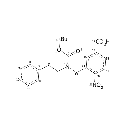 CC(C)(C)OC(=O)N(CCc1ccccc1)Cc1cc(C(=O)O)ccc1[N+](=O)[O-]